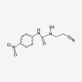 N#CCCN(S)C(=O)Nc1ccc([N+](=O)[O-])cc1